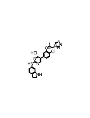 C[C@@H](Cn1cnnn1)Oc1cc(-c2cnc(Nc3ccc4c(c3)NCC4)nc2)ccc1Cl.Cl